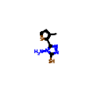 Cc1ccsc1-c1nnc(S)n1N